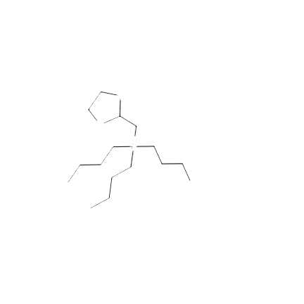 CCCC[PH](CCCC)(CCCC)CC1OCCO1